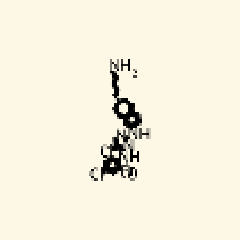 CP(C)(=O)c1cc(Cl)ccc1Nc1nc(Nc2ccc3c(c2)CC[C@@H](CCCCCN)CC3)ncc1Cl